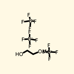 COCCO.F[B-](F)(F)F.F[B-](F)(F)F.F[B-](F)(F)F